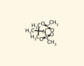 CC(C)(C)N(S(C)(=O)=O)S(C)(=O)=O